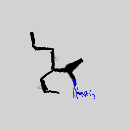 C=C/C=C(\C=C/C)C(=C)NN